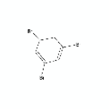 BrC1=CC(Br)CC(Br)=C1